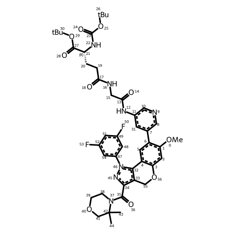 COc1cc2c(cc1-c1cncc(NC(=O)CNC(=O)CC[C@@H](NC(=O)OC(C)(C)C)C(=O)OC(C)(C)C)c1)-c1c(c(C(=O)N3CCOCC3(C)C)nn1-c1cc(F)cc(F)c1)CO2